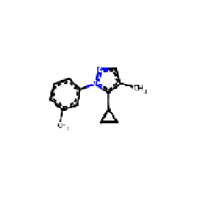 Cc1cnn(-c2cccc(C(F)(F)F)c2)c1C1CC1